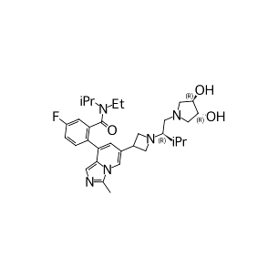 CCN(C(=O)c1cc(F)ccc1-c1cc(C2CN([C@@H](CN3C[C@@H](O)[C@H](O)C3)C(C)C)C2)cn2c(C)ncc12)C(C)C